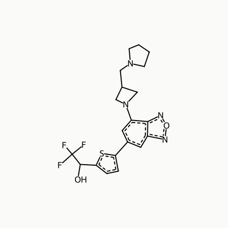 OC(c1ccc(-c2cc(N3CC(CN4CCCC4)C3)c3nonc3c2)s1)C(F)(F)F